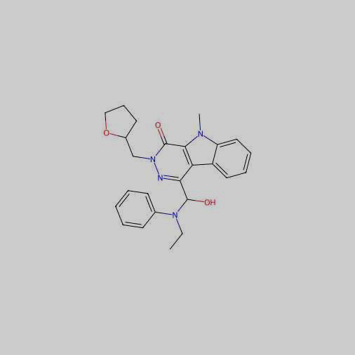 CCN(c1ccccc1)C(O)c1nn(CC2CCCO2)c(=O)c2c1c1ccccc1n2C